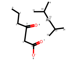 CCCC(=O)CC(=O)[O-].C[CH](C)[Al+][CH](C)C